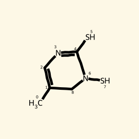 CC1=CN=C(S)N(S)C1